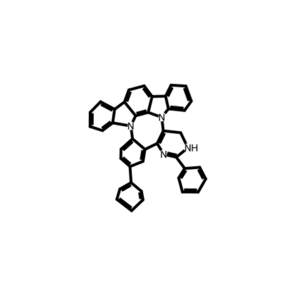 c1ccc(C2=Nc3c(n4c5ccccc5c5ccc6c7ccccc7n(c7ccc(-c8ccccc8)cc37)c6c54)CN2)cc1